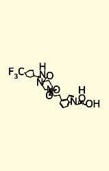 O=C1NC(C2CCC(C(F)(F)F)CC2)=NC12CCN(S(=O)(=O)CCc1cccc3c1ccn3C[C@H](O)CO)CC2